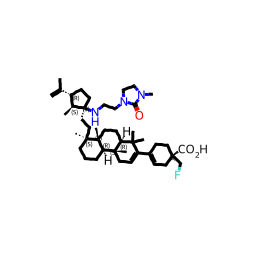 C=C(C)[C@@H]1CC[C@@](CC[C@]2(C)CCC[C@@H]3[C@@]4(C)CC=C(C5=CC[C@](CF)(C(=O)O)CC5)C(C)(C)[C@@H]4CC[C@]32C)(NCCN2CCN(C)C2=O)[C@H]1C